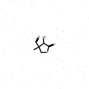 CC1(C=O)COC(=O)C1O